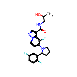 CC(O)CNC(=O)c1cnn2ccc(N3CCCC3c3cc(F)ccc3F)c(F)c12